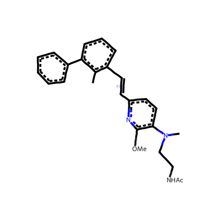 COc1nc(/C=C/c2cccc(-c3ccccc3)c2C)ccc1N(C)CCNC(C)=O